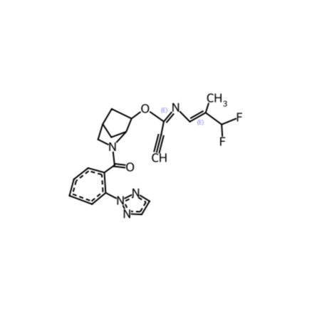 C#C/C(=N\C=C(/C)C(F)F)OC1CC2CC1N(C(=O)c1ccccc1-n1nccn1)C2